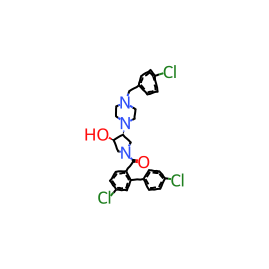 O=C(c1ccc(Cl)cc1-c1ccc(Cl)cc1)N1C[C@@H](O)[C@H](N2CCN(Cc3ccc(Cl)cc3)CC2)C1